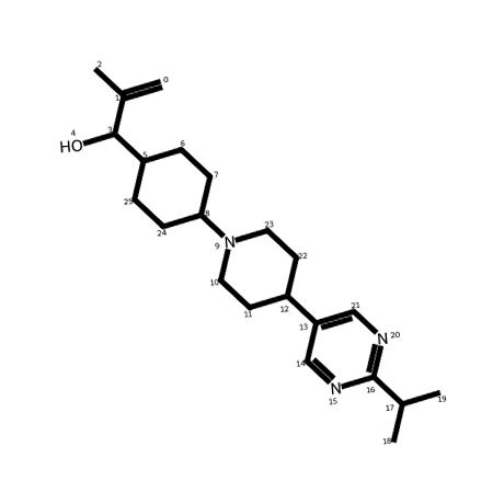 C=C(C)C(O)C1CCC(N2CCC(c3cnc(C(C)C)nc3)CC2)CC1